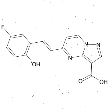 O=C(O)c1cnn2ccc(C=Cc3cc(F)ccc3O)nc12